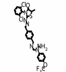 CC1S/C(=N\N=C\c2ccc(C/N=C\N(N)c3ccc(OC(F)(F)F)cc3)cc2)N(c2c(Cl)cccc2Cl)C1=O